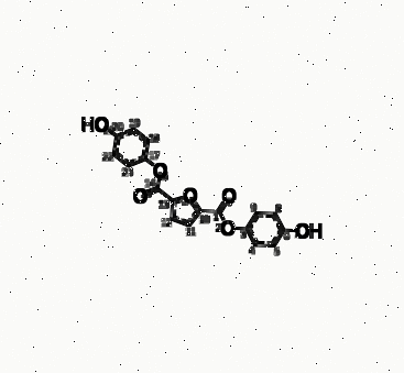 O=C(Oc1ccc(O)cc1)c1ccc(C(=O)Oc2ccc(O)cc2)o1